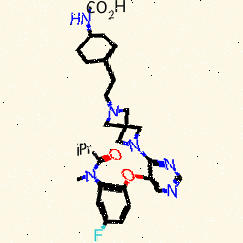 CC(C)C(=O)N(C)c1cc(F)ccc1Oc1cncnc1N1CC2(CN(CCC3CCC(NC(=O)O)CC3)C2)C1